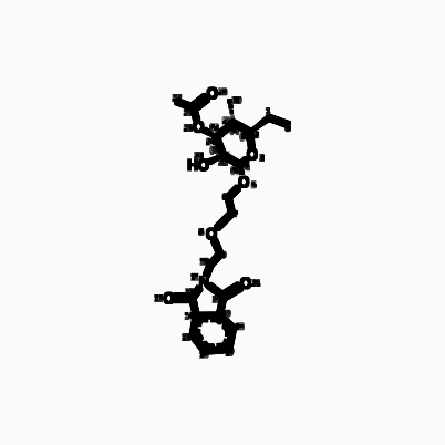 CC[C@H]1O[C@H](OCCOCCN2C(=O)c3ccccc3C2=O)[C@@H](O)[C@@H](OC(C)=O)[C@@H]1C